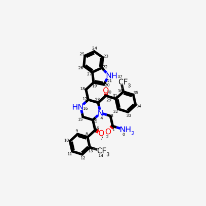 NC(=O)CN1C(C(=O)c2ccccc2C(F)(F)F)CNC(Cc2c[nH]c3ccccc23)C1C(=O)c1ccccc1C(F)(F)F